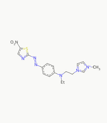 CCN(CCn1cc[n+](C)c1)c1ccc(/N=N/c2ncc([N+](=O)[O-])s2)cc1